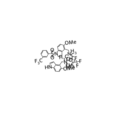 COc1ccc2[nH]ccc2c1CN(C)C.COc1ccc2c(ccn2S(=O)(=O)c2cccc(C(F)(F)F)c2)c1CN(C)C.O=C(O)C(F)(F)F